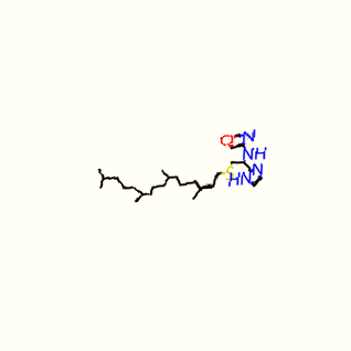 CC(=CCSCC(Nc1cocn1)c1ncc[nH]1)CCCC(C)CCCC(C)CCCC(C)C